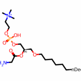 CCCCCCCCCCCCCCCCOC[C@H](COP(=O)(O)OCC[N+](C)(C)C)OC(=O)CN